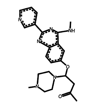 CNc1nc(-c2cccnc2)nc2ccc(OC(CC(C)=O)N3CCN(C)CC3)cc12